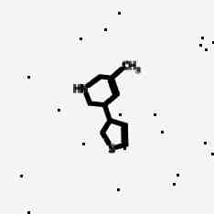 CC1=CC(C2C=CSC2)CNC1